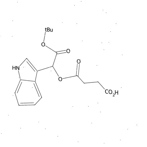 CC(C)(C)OC(=O)C(OC(=O)CCC(=O)O)c1c[nH]c2ccccc12